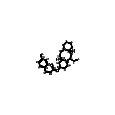 CC[C@@H]1C[C@H]2CCCCN2CC[C@@H]2CC(OC(=O)/C=C\c3ccc(C)cc3)CCN21